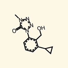 Cn1nnn(-c2cccc(C3CC3)c2CO)c1=O